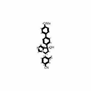 COc1ccc(-c2ccc([C@@]3(O)C[C@H](c4ccc(C#N)cc4F)n4cncc43)cc2)cc1